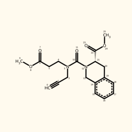 C#CCN(CCC(=O)OC)C(=O)N1Cc2ccccc2C[C@H]1C(=O)OC